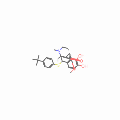 COC1=CC2[C@@H]3[C@H](Sc4ccc(C(C)(C)C)cc4)c4ccc(O)c(O)c4[C@]2(CCN3C)CC1=O